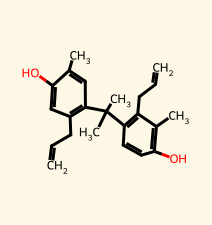 C=CCc1cc(O)c(C)cc1C(C)(C)c1ccc(O)c(C)c1CC=C